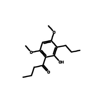 CCCC(=O)c1c(OC)cc(OC)c(CCC)c1O